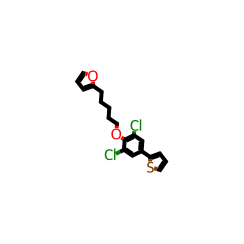 Clc1cc(-c2cccs2)cc(Cl)c1OCCCCCc1ccco1